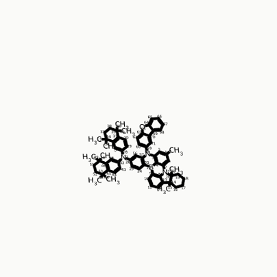 Cc1cc2c3c(c1)N1c4c(cccc4C4(C)CCCCC14C)B3c1ccc(N(c3ccc4c(c3)C(C)(C)CCC4(C)C)c3ccc4c(c3)C(C)(C)CCC4(C)C)cc1N2c1ccc2oc3ccccc3c2c1